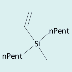 C=C[Si](C)(CCCCC)CCCCC